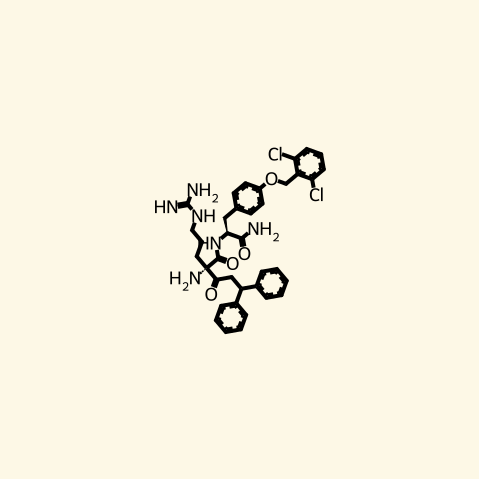 N=C(N)NCCC[C@](N)(C(=O)CC(c1ccccc1)c1ccccc1)C(=O)N[C@@H](Cc1ccc(OCc2c(Cl)cccc2Cl)cc1)C(N)=O